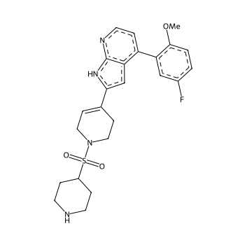 COc1ccc(F)cc1-c1ccnc2[nH]c(C3=CCN(S(=O)(=O)C4CCNCC4)CC3)cc12